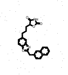 O=C1NC(=O)C(CCCc2ccc3oc(Cc4ccc5ccccc5c4)nc3c2)O1